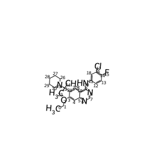 CCOc1cc2ncnc(Nc3ccc(F)c(Cl)c3)c2cc1C(C)(C)N1CCCCC1